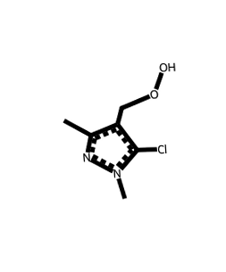 Cc1nn(C)c(Cl)c1COO